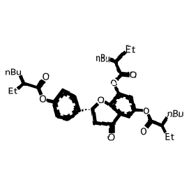 CCCCC(CC)C(=O)Oc1ccc([C@H]2CC(=O)c3cc(OC(=O)C(CC)CCCC)cc(OC(=O)C(CC)CCCC)c3O2)cc1